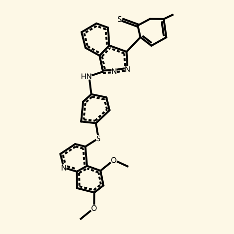 COc1cc(OC)c2c(Sc3ccc(Nc4nnc(C5=CC=C(C)CC5=S)c5ccccc45)cc3)ccnc2c1